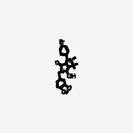 CN1C(c2ccc(Br)cc2)=C2C(=O)N(Cc3ccc4c(c3)OCO4)C(O)C2C1(C)C